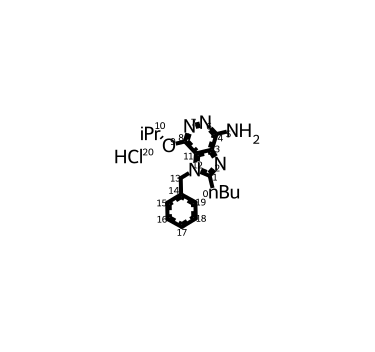 CCCCc1nc2c(N)nnc(OC(C)C)c2n1Cc1ccccc1.Cl